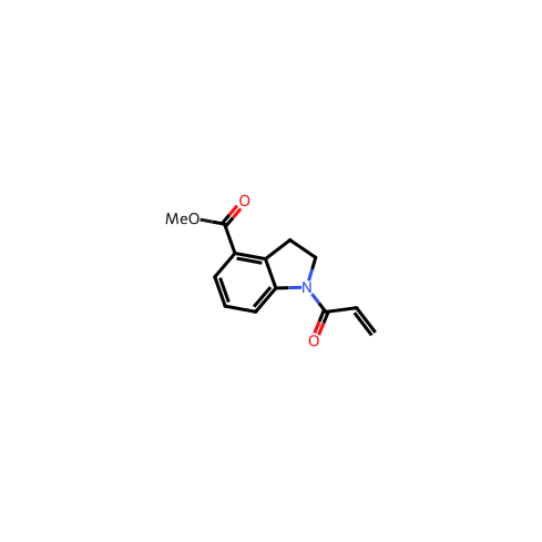 C=CC(=O)N1CCc2c(C(=O)OC)cccc21